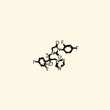 C[C@@H](N1CC(=O)N(c2ccc(F)cc2F)C1=O)[C@](O)(Cn1cncn1)c1ccc(F)cc1F